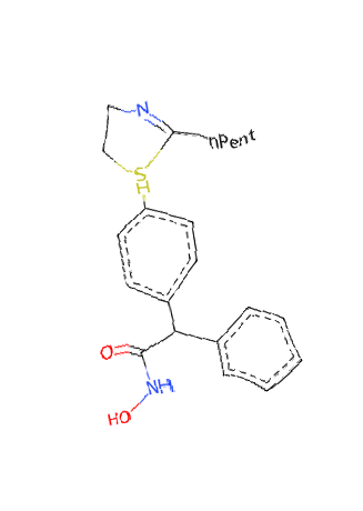 CCCCCC1=NCC[SH]1c1ccc(C(C(=O)NO)c2ccccc2)cc1